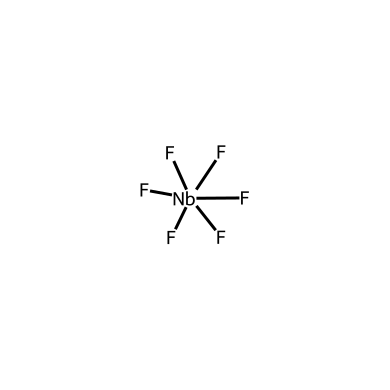 [F][Nb]([F])([F])([F])([F])[F]